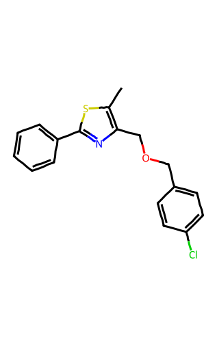 Cc1sc(-c2ccccc2)nc1COCc1ccc(Cl)cc1